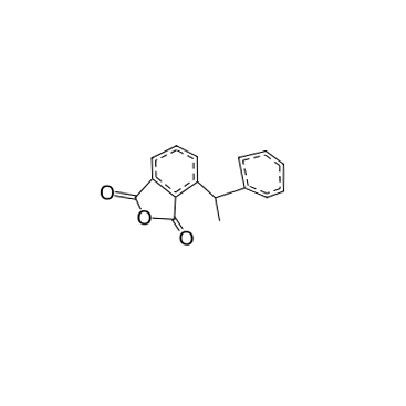 CC(c1ccccc1)c1cccc2c1C(=O)OC2=O